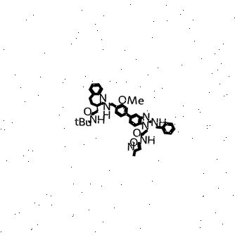 COc1cc(-c2ccc3c(c2)nc(NCc2ccccc2)n3CC(=O)Nc2cc(C)no2)ccc1CNC1=Nc2ccccc2CC[C@@H]1CC(=O)NC(C)(C)C